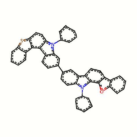 c1ccc(-n2c3cc(-c4ccc5c(c4)c4ccc6c7ccccc7oc6c4n5-c4ccccc4)ccc3c3c4c(ccc32)sc2ccccc24)cc1